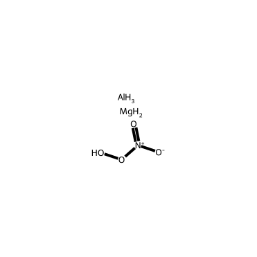 O=[N+]([O-])OO.[AlH3].[MgH2]